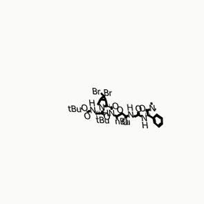 CCCCC(NC(=O)[C@@H]1C2C(CN1C(=O)[C@@H](NC(=O)OC(C)(C)C)C(C)(C)C)C2(Br)Br)C(=O)C(=O)NCC(=O)N[C@H](C(=O)N(C)C)c1ccccc1